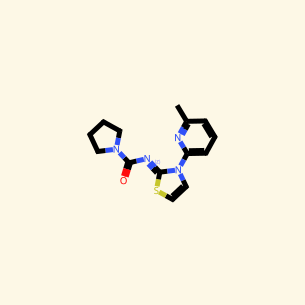 Cc1cccc(-n2ccs/c2=N\C(=O)N2CCCC2)n1